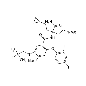 CNCCC(CCC1CC1)(NC(=O)c1cc2c(cnn2CC(C)(C)F)cc1Oc1ccc(F)cc1F)C(N)=O